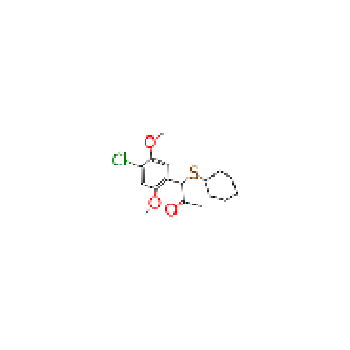 COc1cc(C(SC2CCCCC2)C(C)=O)c(OC)cc1Cl